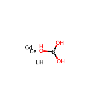 OB(O)O.[Ce].[Gd].[LiH]